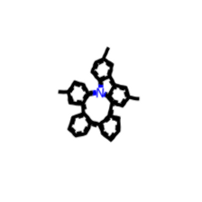 Cc1ccc2c(c1)c1ccccc1c1ccccc1c1cc(C)cc3c4cc(C)ccc4n2c13